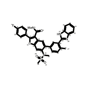 CNC(=O)c1c(-c2ccc(F)cc2)oc2cc(N(C)S(C)(=O)=O)c(-c3ccc(F)c(-c4nc5ccccc5[nH]4)c3)cc12